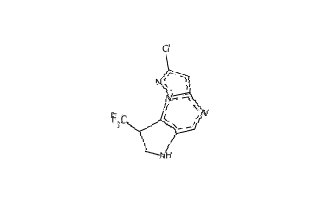 FC(F)(F)C1CNc2cnc3cc(Cl)nn3c21